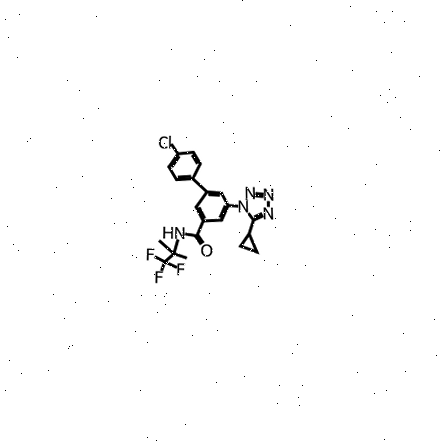 CC(C)(NC(=O)c1cc(-c2ccc(Cl)cc2)cc(-n2nnnc2C2CC2)c1)C(F)(F)F